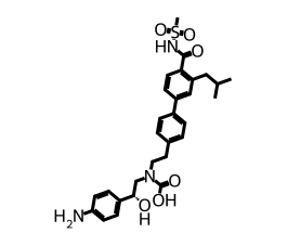 CC(C)Cc1cc(-c2ccc(CCN(C[C@H](O)c3ccc(N)cc3)C(=O)O)cc2)ccc1C(=O)NS(C)(=O)=O